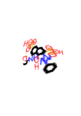 C=CC(=O)Nc1cc(S(=O)(=O)O)cc2cc(S(=O)(=O)O)c(N=Nc3ccccc3)c(O)c12